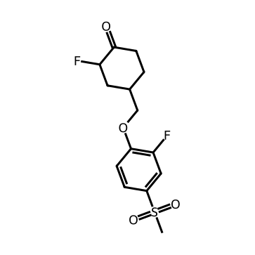 CS(=O)(=O)c1ccc(OCC2CCC(=O)C(F)C2)c(F)c1